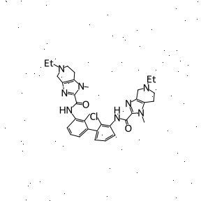 CCN1CCc2c(nc(C(=O)Nc3cccc(-c4cccc(NC(=O)c5nc6c(n5C)CCN(CC)C6)c4Cl)c3C)n2C)C1